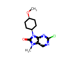 CO[C@H]1CC[C@@H](n2c(=O)n(C)c3cnc(Cl)nc32)CC1